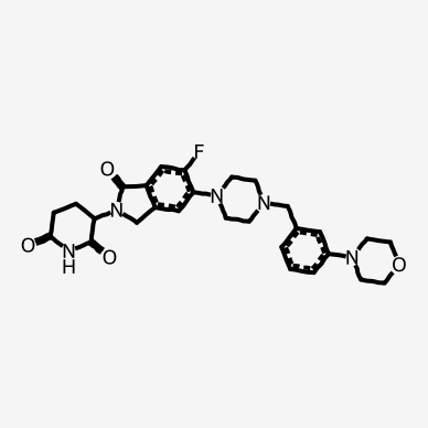 O=C1CCC(N2Cc3cc(N4CCN(Cc5cccc(N6CCOCC6)c5)CC4)c(F)cc3C2=O)C(=O)N1